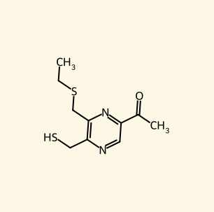 CCSCc1nc(C(C)=O)cnc1CS